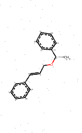 C[C@H](OCC=Cc1ccccc1)c1ccccc1